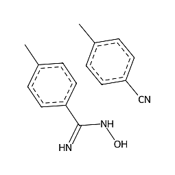 Cc1ccc(C#N)cc1.Cc1ccc(C(=N)NO)cc1